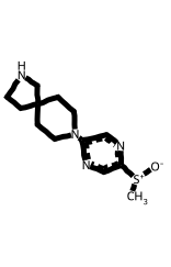 C[S+]([O-])c1cnc(N2CCC3(CCNC3)CC2)cn1